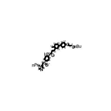 CCCCOCCOc1ccc(-c2ccc(C)c(/C=C/C(=O)Nc3ccc([S+]([O-])Cc4cncn4CCC)cc3)c2)cc1